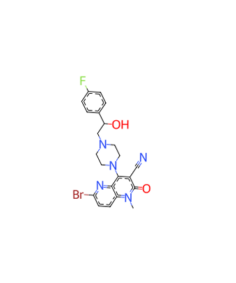 Cn1c(=O)c(C#N)c(N2CCN(CC(O)c3ccc(F)cc3)CC2)c2nc(Br)ccc21